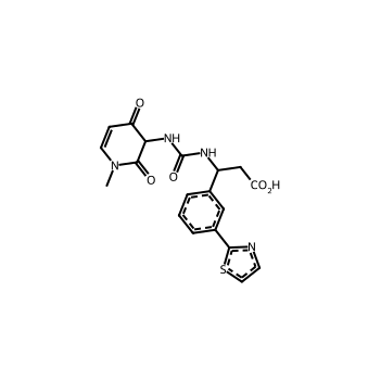 CN1C=CC(=O)C(NC(=O)NC(CC(=O)O)c2cccc(-c3nccs3)c2)C1=O